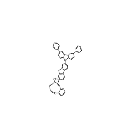 C=C1/C=C\C=C/Cc2ccccc2/C=C\1c1ccc2c(c1)Cc1cc(-n3c4ccc(-c5ccccc5)cc4c4cc(-c5ccccc5)ccc43)ccc1-2